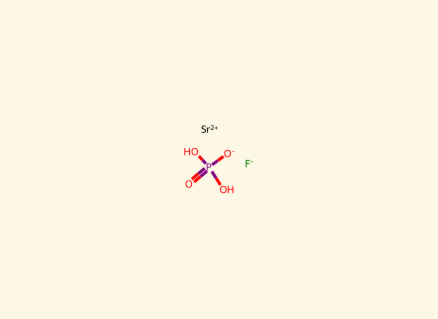 O=P([O-])(O)O.[F-].[Sr+2]